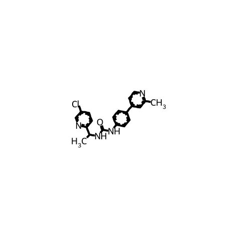 Cc1cc(-c2ccc(NC(=O)NC(C)c3ccc(Cl)cn3)cc2)ccn1